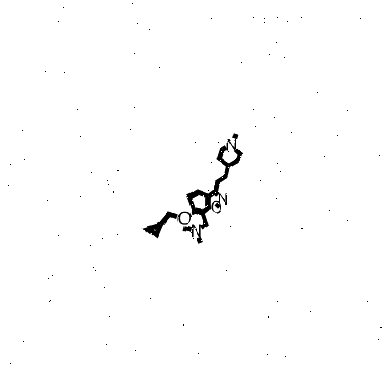 CN(C)Cc1c(OCC2CC2)ccc2c(CCC3CCN(C)CC3)noc12